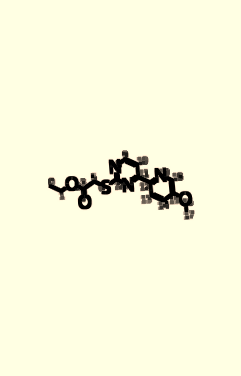 CCOC(=O)CSc1nccc(-c2ccc(OC)cn2)n1